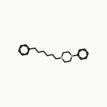 c1ccc(CCCCCCN2CCN(c3ccccc3)CC2)cc1